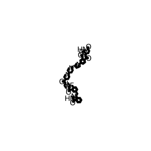 O=C1CCC(N2C(=O)c3ccc(N4CC[C@H](CN5CCC(N6CCC(C(=O)N7CCN(C(=O)c8cc(Cc9n[nH]c(=O)c%10ccccc9%10)ccc8F)CC7)CC6)CC5)C4)cc3C2=O)C(=O)N1